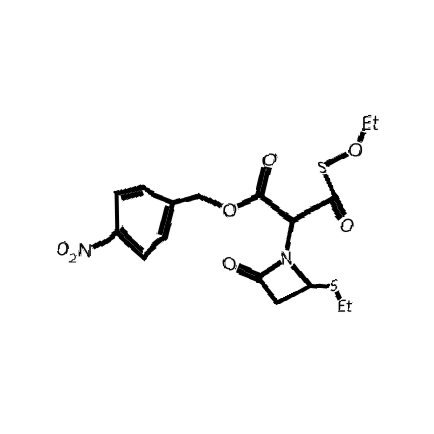 CCOSC(=O)C(C(=O)OCc1ccc([N+](=O)[O-])cc1)N1C(=O)CC1SCC